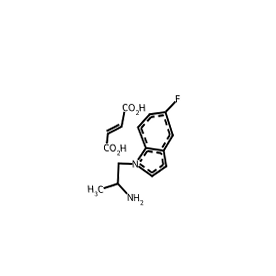 CC(N)Cn1ccc2cc(F)ccc21.O=C(O)C=CC(=O)O